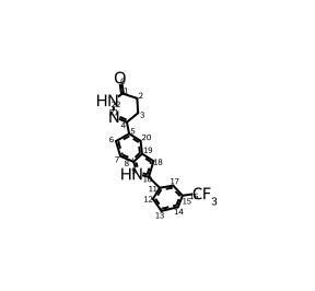 O=C1CCC(c2ccc3[nH]c(-c4cccc(C(F)(F)F)c4)cc3c2)=NN1